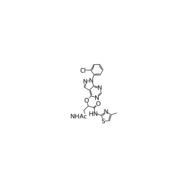 CC(=O)NCC(Oc1ncnc2c1cnn2-c1ccccc1Cl)C(=O)Nc1nc(C)cs1